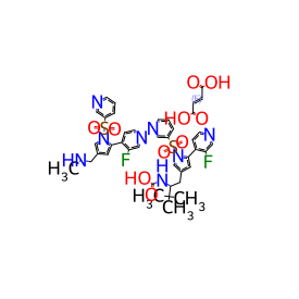 CC(C)(C)C(Cc1cc(-c2ccncc2F)n(S(=O)(=O)c2cccnc2)c1)NC(=O)O.CNCc1cc(-c2ccncc2F)n(S(=O)(=O)c2cccnc2)c1.O=C(O)/C=C/C(=O)O